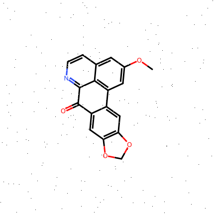 COc1cc2c3c(nccc3c1)C(=O)c1cc3c(cc1-2)OCO3